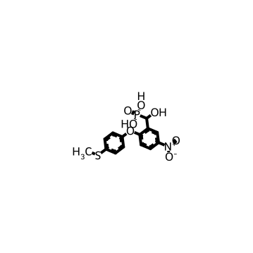 CSc1ccc(Oc2ccc([N+](=O)[O-])cc2C(O)P(=O)(O)O)cc1